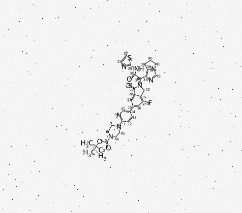 CC(C)(C)OC(=O)N1CCN(c2ccc(-c3cc(F)c4c(c3)C(=O)N([C@@H](C(=O)Nc3nccs3)c3ncn5c3CCC5)C4)cn2)CC1